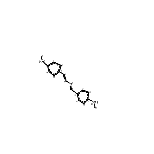 CNc1ccc(/C=N/N=C/c2ccc(NC)cc2)cc1